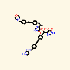 CC(Cc1ccc(C#Cc2ccc(CN3CCOCC3)cc2)cc1)c1nc[nH]c(=O)c1OC1C(c2ccc(C#Cc3ccc(CN[C@@H]4CCNC4)cc3)cc2)C1c1nc[nH]c(=O)c1O